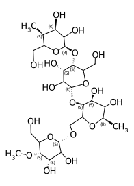 CO[C@@H]1C(CO)O[C@H](OCC2O[C@H](C)C(O)[C@H](O)[C@@H]2O[C@H]2OC(CO)[C@@H](O[C@H]3OC(CO)[C@@H](C)[C@@H](O)C3O)[C@@H](O)C2O)C(O)[C@@H]1O